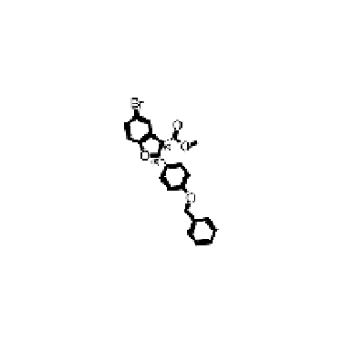 COC(=O)[C@H]1c2cc(Br)ccc2O[C@H]1c1ccc(OCc2ccccc2)cc1